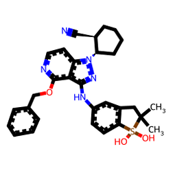 CC1(C)Cc2cc(Nc3nn([C@H]4CCCC[C@@H]4C#N)c4ccnc(OCc5ccccc5)c34)ccc2S1(O)O